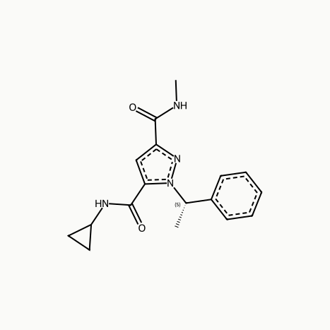 CNC(=O)c1cc(C(=O)NC2CC2)n([C@@H](C)c2ccccc2)n1